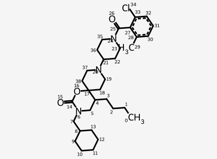 CCCCC1CN(CC2CCCCC2)C(=O)OC12CCN(C1CCN(C(=O)c3c(C)cccc3Cl)CC1)CC2